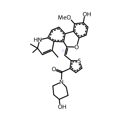 COc1c(O)ccc2c1-c1ccc3c(c1/C(=C/c1sccc1C(=O)N1CCC(O)CC1)O2)C(C)=CC(C)(C)N3